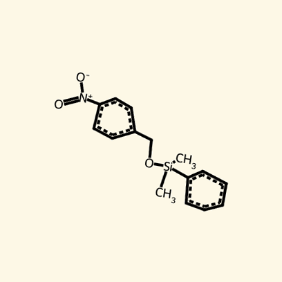 C[Si](C)(OCc1ccc([N+](=O)[O-])cc1)c1ccccc1